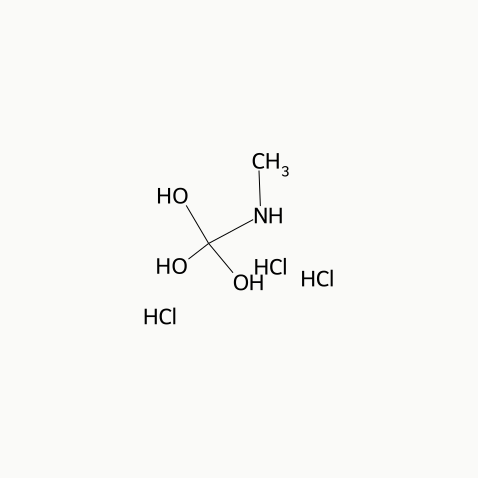 CNC(O)(O)O.Cl.Cl.Cl